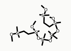 CO[Si](C)(C)CC[Si](C)(OC)O[Si](C)(C)O[Si](C)(C)O[Si](C)(CC[Si](C)(C)OC)OC